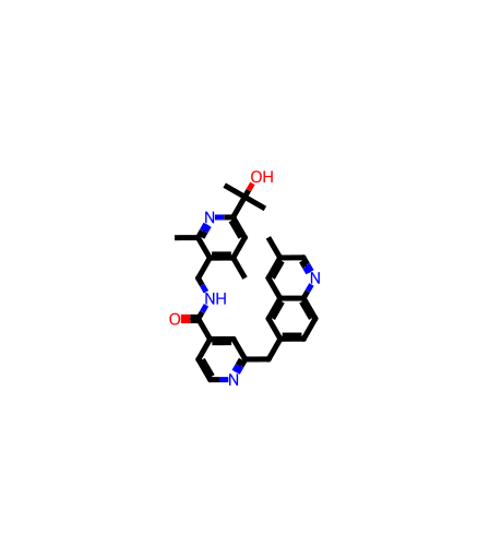 Cc1cnc2ccc(Cc3cc(C(=O)NCc4c(C)cc(C(C)(C)O)nc4C)ccn3)cc2c1